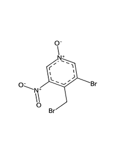 O=[N+]([O-])c1c[n+]([O-])cc(Br)c1CBr